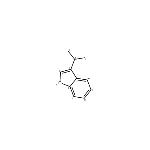 CC(C)c1coc2ccccc12